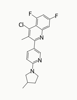 Cc1c(-c2ccc(N3CCC(C)C3)nc2)nc2cc(F)cc(F)c2c1Cl